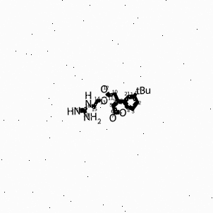 CC(C)(C)c1ccc2oc(=O)cc(CC(=O)OCCNC(=N)N)c2c1